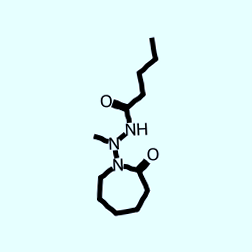 CCCCC(=O)NN(C)N1CCCCCC1=O